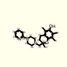 Cc1c(C)c2c(c(C)c1O)CCC(C)(CN1CCN(c3ccccn3)CC1)O2